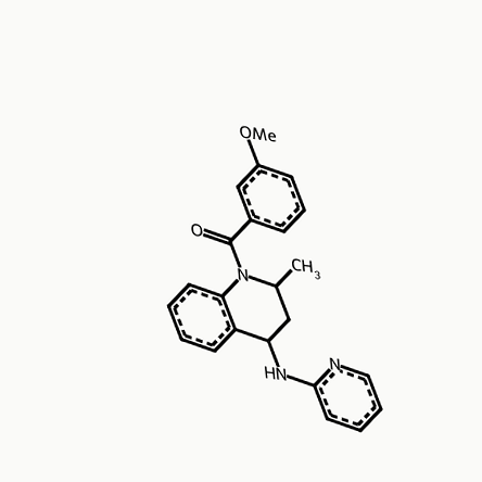 COc1cccc(C(=O)N2c3ccccc3C(Nc3ccccn3)CC2C)c1